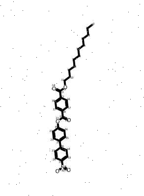 CCCCCCCCCCCCOC(=O)c1ccc(C(=O)Oc2ccc(-c3ccc([N+](=O)[O-])cc3)cc2)cc1